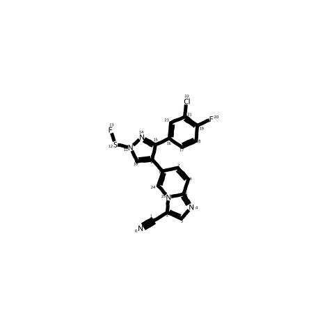 N#Cc1cnc2ccc(-c3cn(SF)nc3-c3ccc(F)c(Cl)c3)cn12